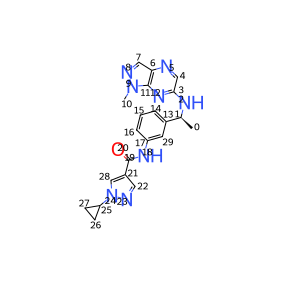 C[C@H](Nc1cnc2cnn(C)c2n1)c1cccc(NC(=O)c2cnn(C3CC3)c2)c1